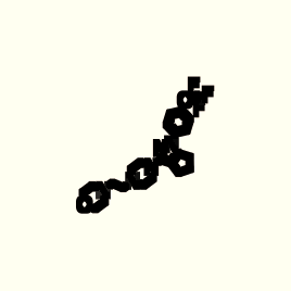 FC(F)(F)Oc1ccc(-n2nc(N3CCN(CCN4CCOCC4)CC3)c3c2CCC3)cc1